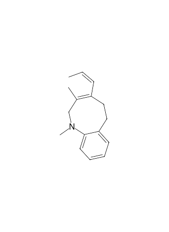 C/C=C\C1=C(/C)CN(C)c2ccccc2CC1